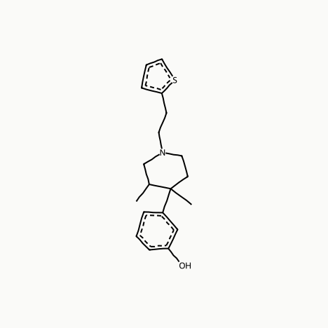 CC1CN(CCc2cccs2)CCC1(C)c1cccc(O)c1